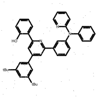 CC(C)(C)c1cc(-c2cc(-c3cccc(N(c4ccccc4)c4ccccn4)c3)nc(-c3ccccc3O)c2)cc(C(C)(C)C)c1